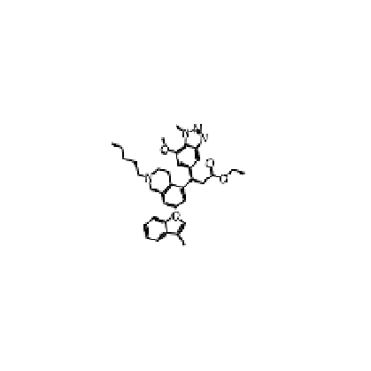 CCCCCN1CCc2c(cccc2C(CC(=O)OCC)c2cc(OC)c3c(c2)nnn3C)C1.Cc1coc2ccccc12